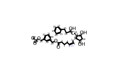 O=C(CCC/C=C\C[C@@H]1[C@@H](CC[C@@H](O)CCc2ccccc2)[C@H](O)C[C@@H]1O)OCc1cccc(CO[N+](=O)[O-])c1